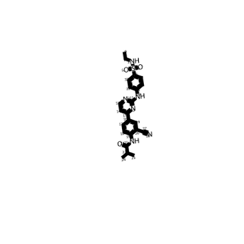 CCNS(=O)(=O)c1ccc(Nc2nccc(-c3ccc(NC(=O)C(C)C)c(C#N)c3)n2)cc1